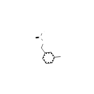 Cc1cccc(CO[N+](=O)O)c1